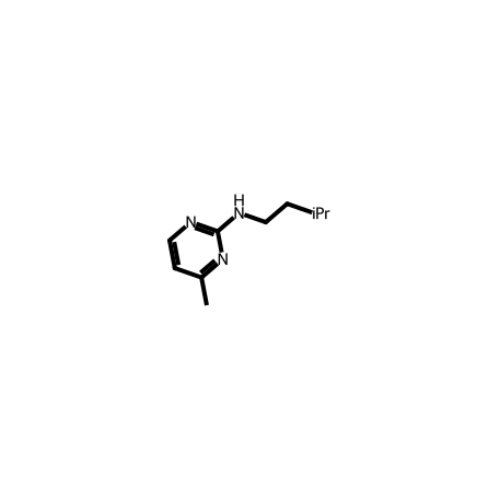 Cc1ccnc(NCCC(C)C)n1